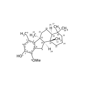 COc1c(O)cc(C)c2c1C[C@@H]1[C@@]3(C)CCCC(C)(C)[C@@H]3CC[C@]21C